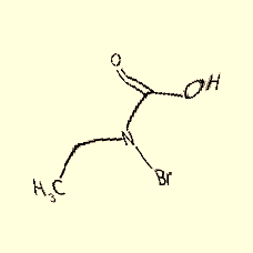 CCN(Br)C(=O)O